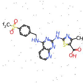 Cc1nc(Nc2nc(NCc3ccc(S(C)(=O)=O)cc3)c3cccnc3n2)sc1C(=O)O